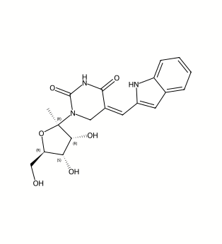 C[C@@]1(N2CC(=Cc3cc4ccccc4[nH]3)C(=O)NC2=O)O[C@H](CO)[C@@H](O)[C@H]1O